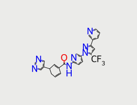 O=C(Nc1ccc(-n2nc(-c3cccnc3)cc2C(F)(F)F)cn1)C1=CC(c2cncnc2)CC=C1